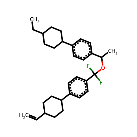 C=CC1CCC(c2ccc(C(F)(F)OC(C)c3ccc(C4CCC(CC)CC4)cc3)cc2)CC1